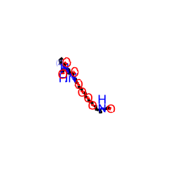 C=C(CCOCCOCCOCCOCCNC(=O)CCN(C=O)C(=O)/C=C\C)NCC=O